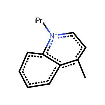 Cc1cc[n+](C(C)C)c2ccccc12